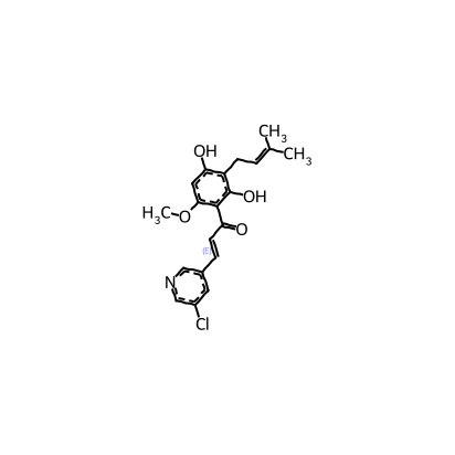 COc1cc(O)c(CC=C(C)C)c(O)c1C(=O)/C=C/c1cncc(Cl)c1